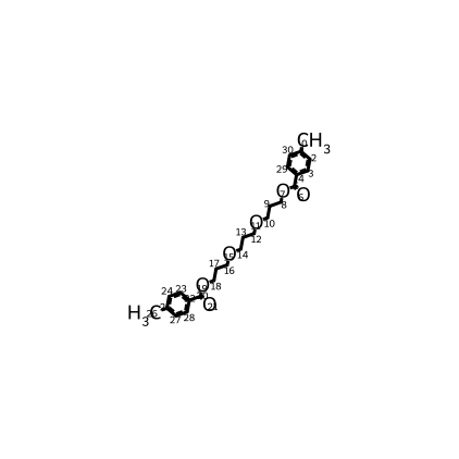 Cc1ccc(C(=O)OCCCOCCCOCCCOC(=O)c2ccc(C)cc2)cc1